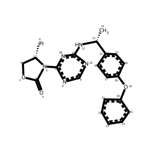 CC(C)[C@H]1COC(=O)N1c1ncnc(N[C@H](C)c2ccc(Oc3ccccc3)cc2)n1